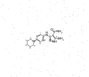 NC(=O)c1c(Nc2ccc(N3CCCCC3)cn2)n[nH]c1N